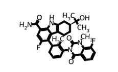 CC1=C(n2c(=O)c3cccc(F)c3n(C)c2=O)C=CCC1c1c(F)cc(C(N)=O)c2[nH]c3c(c12)CC[C@H](C(C)(C)O)C3